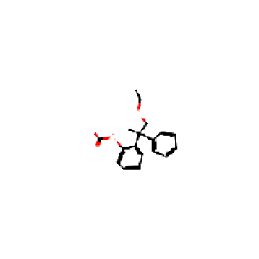 CCOCC(C)(c1ccccc1)c1ccccc1OC(=O)O